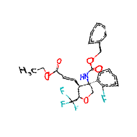 CCOC(=O)/C=C/[C@@H]1C(C(F)(F)F)OC[C@@]1(NC(=O)OCc1ccccc1)c1ccccc1F